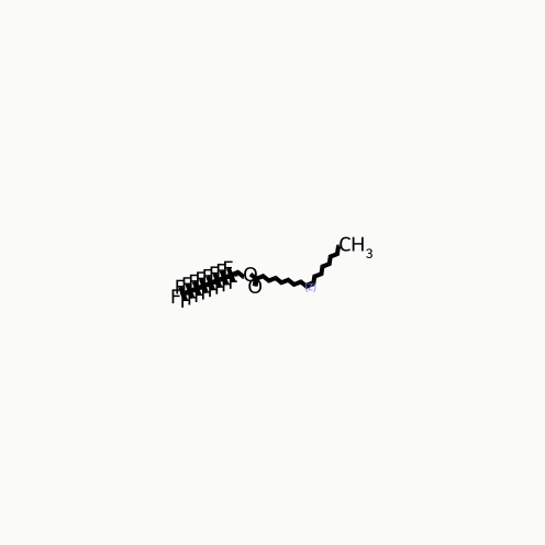 CCCCCCCC/C=C\CCCCCCCC(=O)OCCC(F)(F)C(F)(F)C(F)(F)C(F)(F)C(F)(F)C(F)(F)C(F)(F)C(F)(F)F